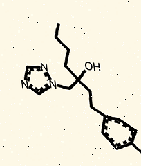 CCCCC(O)(CCc1ccc(Cl)cc1)Cn1cncn1